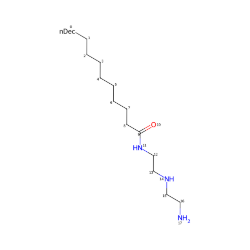 CCCCCCCCCCCCCCCCCCC(=O)NCCNCCN